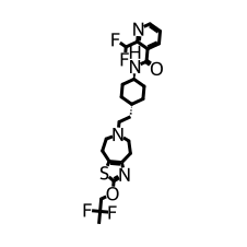 CC(F)(F)COc1nc2c(s1)CCN(CC[C@H]1CC[C@H](NC(=O)c3cccnc3C(F)F)CC1)CC2